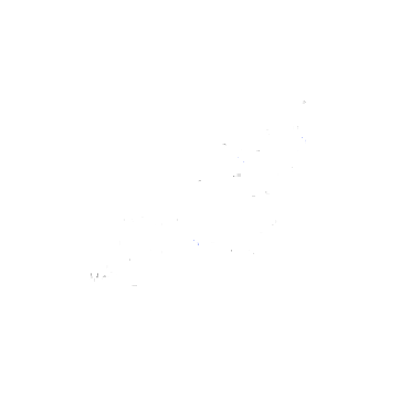 COC(C)(C)c1cccc(C(=O)Nc2ccc(C)c(-c3cc4cnc(C)cc4n(C)c3=O)c2)c1